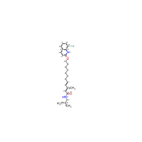 CC(/C=C/CCCCCCCOc1ccc2cccc(F)c2n1)=C\C(=O)NCC(C)C